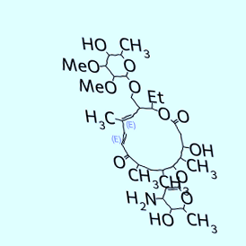 CCC1OC(=O)CC(O)C(C)C(OC2=CC(N)C(O)C(C)O2)C(C)CC(C)C(=O)/C=C/C(C)=C/C1COC1OC(C)C(O)C(OC)C1OC